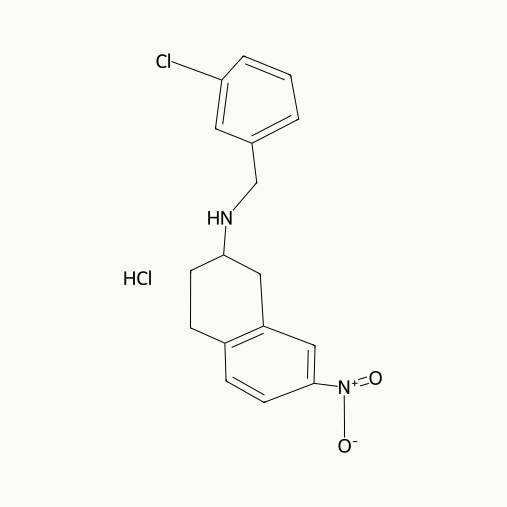 Cl.O=[N+]([O-])c1ccc2c(c1)CC(NCc1cccc(Cl)c1)CC2